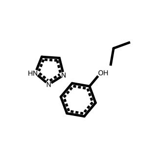 CCC.Oc1ccccc1.c1c[nH]nn1